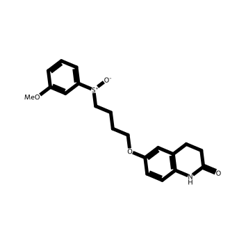 COc1cccc([S+]([O-])CCCCOc2ccc3c(c2)CCC(=O)N3)c1